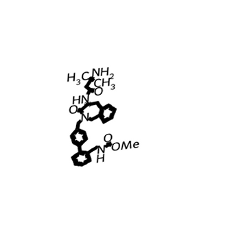 COC(=O)NCc1ccccc1-c1ccc(CN2Cc3ccccc3C[C@@H](NC(=O)CC(C)(C)N)C2=O)cc1